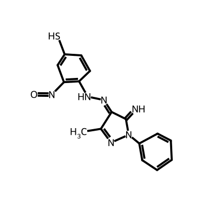 CC1=NN(c2ccccc2)C(=N)/C1=N/Nc1ccc(S)cc1N=O